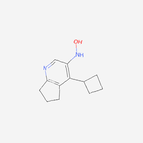 ONc1cnc2c(c1C1CCC1)CCC2